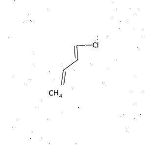 C.C=CC=CCl